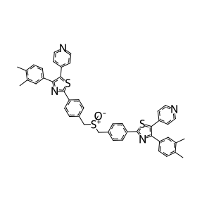 Cc1ccc(-c2nc(-c3ccc(C[S+]([O-])Cc4ccc(-c5nc(-c6ccc(C)c(C)c6)c(-c6ccncc6)s5)cc4)cc3)sc2-c2ccncc2)cc1C